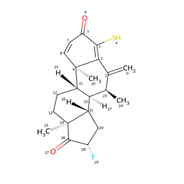 C=C1C2=C(S)C(=O)C=C[C@]2(C)[C@H]2CC[C@]3(C)C(=O)[C@@H](F)C[C@H]3[C@@H]2[C@@H]1C